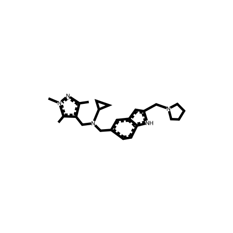 Cc1nn(C)c(C)c1CN(Cc1ccc2[nH]c(CN3CCCC3)cc2c1)C1CC1